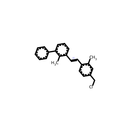 Cc1cc(CCl)ccc1/C=C/c1cccc(-c2ccccc2)c1C